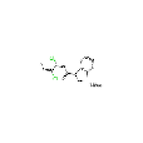 C=C(/C=C(Cl)\C(Cl)=C/C)[C@@H]1C[C@@H](NC)c2ccccc21